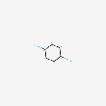 FC1[CH]CC(F)[CH]C1